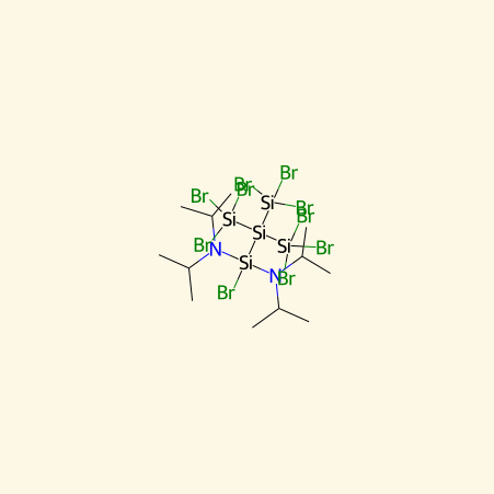 CC(C)N(C(C)C)[Si](Br)(N(C(C)C)C(C)C)[Si]([Si](Br)(Br)Br)([Si](Br)(Br)Br)[Si](Br)(Br)Br